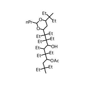 CCCC1OC(C(C)(CC)CC)CC(C(CC)(CC)C(CC)(CC)C(O)C(CC)C(CC)(CC)C(CC(C)(CC)CC)OC(C)=O)O1